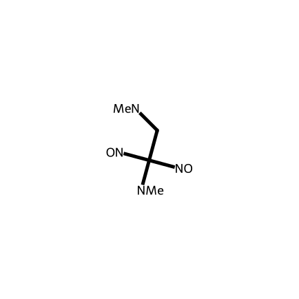 CNCC(N=O)(N=O)NC